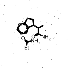 CC(C(N)=O)C1CCc2ccccc21.CCC(N)=O